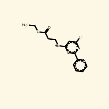 CCOC(=O)CCNc1cc(Cl)nc(-c2ccccn2)n1